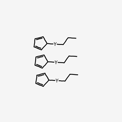 CC[CH2][Y][CH]1C=CC=C1.CC[CH2][Y][CH]1C=CC=C1.CC[CH2][Y][CH]1C=CC=C1